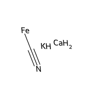 N#[C][Fe].[CaH2].[KH]